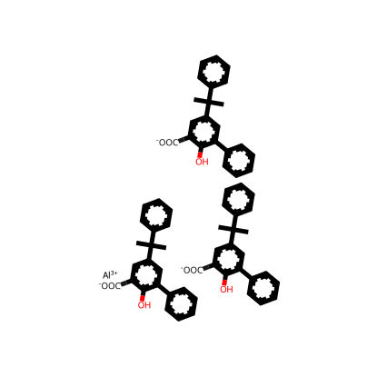 CC(C)(c1ccccc1)c1cc(C(=O)[O-])c(O)c(-c2ccccc2)c1.CC(C)(c1ccccc1)c1cc(C(=O)[O-])c(O)c(-c2ccccc2)c1.CC(C)(c1ccccc1)c1cc(C(=O)[O-])c(O)c(-c2ccccc2)c1.[Al+3]